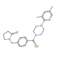 Cc1cnc(N2CCN(C(=O)c3ccc(CN4CCCC4=O)cc3)CC2)c(C)c1.Cl